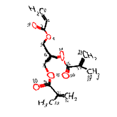 C=CC(=O)OCC(COC(=O)C(=C)C)OC(=O)C(=C)C